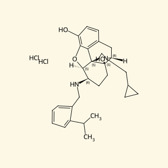 CC(C)c1ccccc1CN[C@@H]1CC[C@@]2(O)[C@H]3Cc4ccc(O)c5c4[C@@]2(CCN3CC2CC2)[C@@H]1O5.Cl.Cl